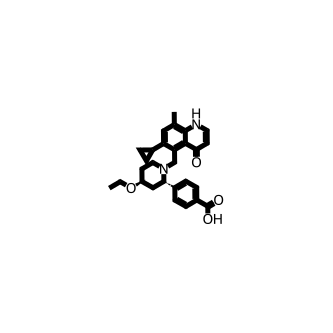 CCO[C@H]1CCN(Cc2c(C3CC3)cc(C)c3[nH]ccc(=O)c23)[C@H](c2ccc(C(=O)O)cc2)C1